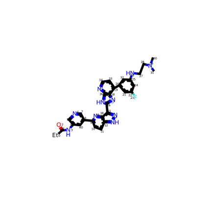 CCC(=O)Nc1cncc(-c2ccc3[nH]nc(-c4nc5c(-c6cc(F)cc(NCCN(C)C)c6)ccnc5[nH]4)c3n2)c1